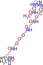 C=CC(=O)Nc1ccc(Nc2nc(Nc3ccc(OCCOCCNC(=O)CCCC(=O)NCCCOCCOCCOCCCNC(=O)CCCC[C@H](SC)[C@H]4NC(=O)N[C@H]4C)cc3)ncc2F)cc1